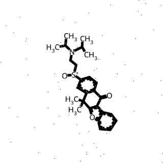 CC(C)N(CC[S+]([O-])c1ccc2c(c1)C(C)(C)c1oc3ccccc3c1C2=O)C(C)C